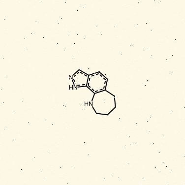 c1cc2cn[nH]c2c2c1CCCCN2